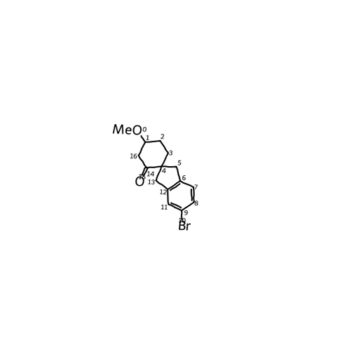 COC1CCC2(Cc3ccc(Br)cc3C2)C(=O)C1